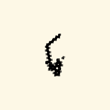 CCCCCCCC/C=C\CCCCCCCC(=O)OC[N+]1(C)CC2c3ccccc3Oc3ccc(Cl)cc3C2C1.[I-]